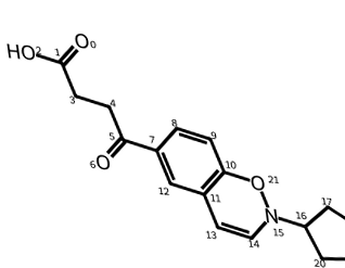 O=C(O)CCC(=O)c1ccc2c(c1)C=CN(C1CCCC1)O2